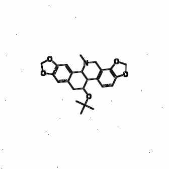 CN1Cc2c(ccc3c2OCO3)C2C(OC(C)(C)C)Cc3cc4c(cc3C21)OCO4